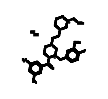 COC[C@H]1CN(CCN2CCN(C(=O)c3cc(C(F)(F)F)cc(C(F)(F)F)c3)[C@H](Cc3ccc(F)c(OC)c3)C2)CCO1.Cl.Cl